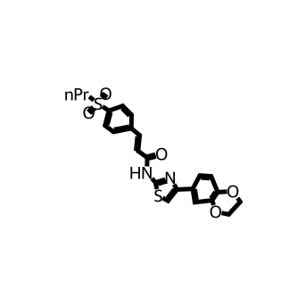 CCCS(=O)(=O)c1ccc(C=CC(=O)Nc2nc(-c3ccc4c(c3)OCCO4)cs2)cc1